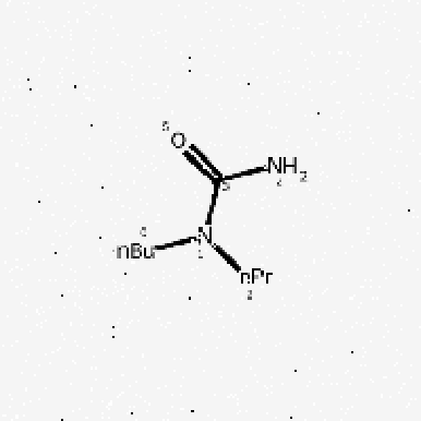 CCC[CH]N(CCC)C(N)=O